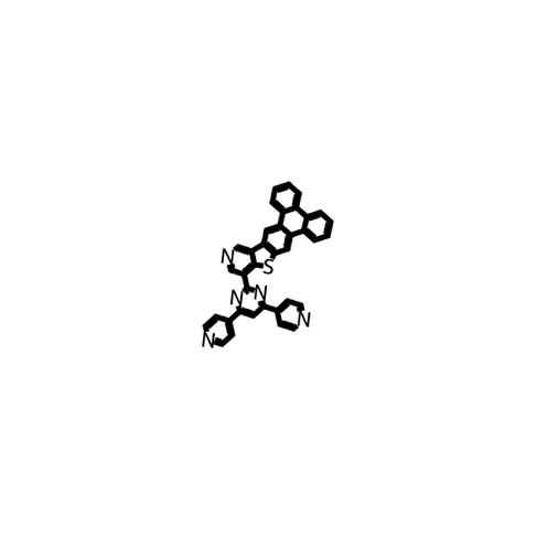 c1ccc2c(c1)c1ccccc1c1cc3c(cc21)sc1c(-c2nc(-c4ccncc4)cc(-c4ccncc4)n2)cncc13